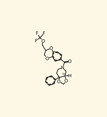 O=C(c1ccc2c(c1)OCC(COC(F)(F)F)O2)N1CC[C@@]2(c3ccccc3)OCO[C@H]2C1